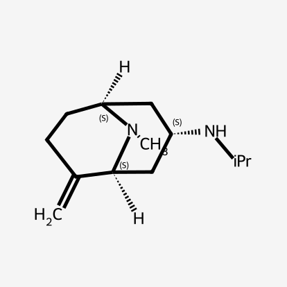 C=C1CC[C@H]2C[C@H](NC(C)C)C[C@@H]1N2C